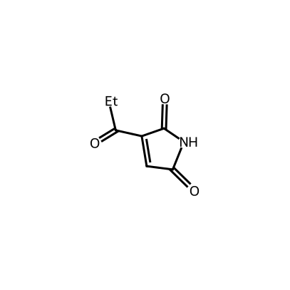 CCC(=O)C1=CC(=O)NC1=O